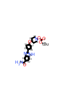 CC(C)(C)OC(=O)ON1CCC(Oc2ccc(-c3nc4cc(C(N)=O)ccc4[nH]3)cc2)CC1